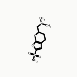 CN(C)CC1CCc2cc(S(N)(=O)=O)oc2S1